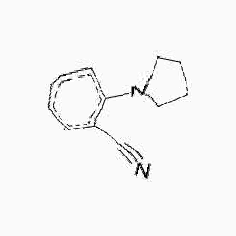 N#Cc1[c]cccc1N1CCCC1